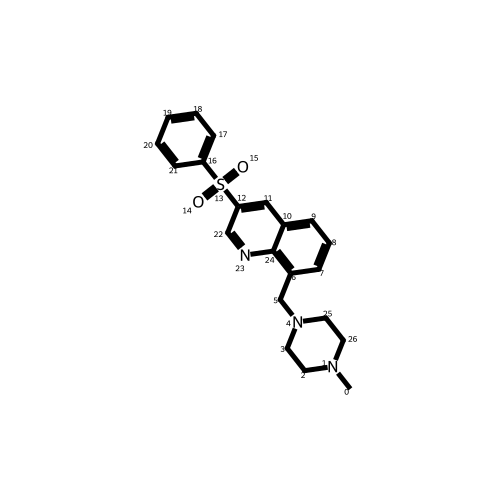 CN1CCN(Cc2cccc3cc(S(=O)(=O)c4ccccc4)cnc23)CC1